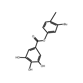 CCCCc1cc(OC(=O)c2cc(O)c(O)c(O)c2)ccc1C